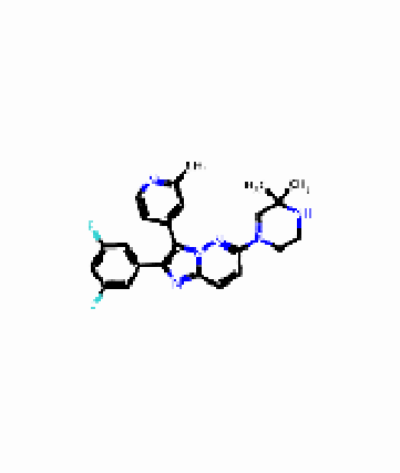 Cc1cc(-c2c(-c3cc(F)cc(F)c3)nc3ccc(N4CCNC(C)(C)C4)nn23)ccn1